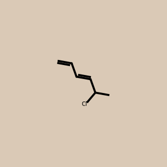 C=CC=CC(C)Cl